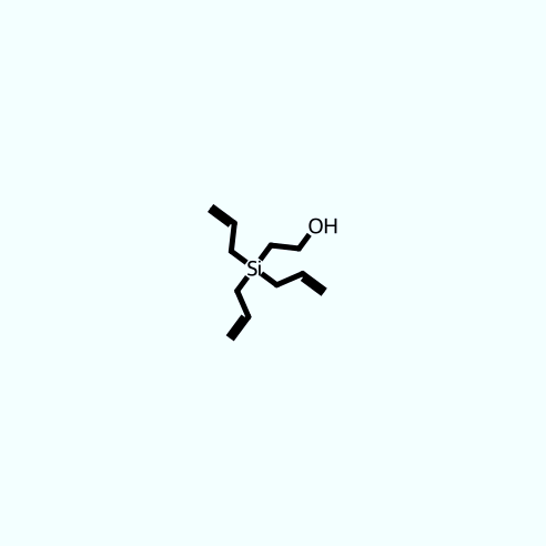 C=CC[Si](CC=C)(CC=C)CCO